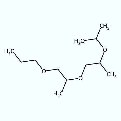 [CH2]C(C)OC(C)COC(C)COCCC